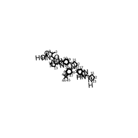 CC(C)[C@H](NC(=O)O)C(=O)N1CCCC1c1nc2cc([C@H]3CC[C@H](c4ccc5[nH]c([C@@H]6CCCN6)nc5c4)N3c3ccc(C(C)(C)C)cc3)ccc2[nH]1